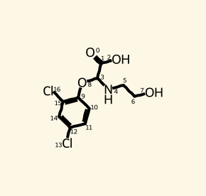 O=C(O)C(NCCO)Oc1ccc(Cl)cc1Cl